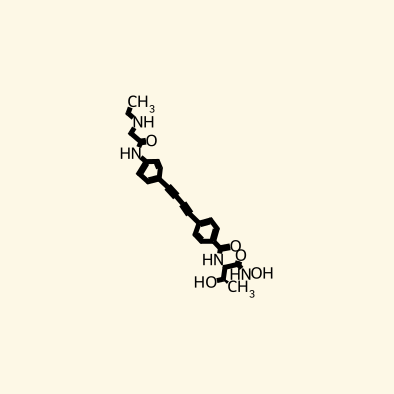 CCNCC(=O)Nc1ccc(C#CC#Cc2ccc(C(=O)N[C@H](C(=O)NO)[C@@H](C)O)cc2)cc1